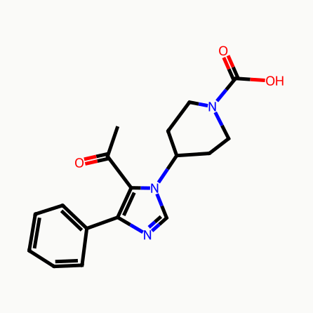 CC(=O)c1c(-c2ccccc2)ncn1C1CCN(C(=O)O)CC1